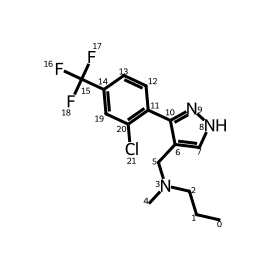 CCCN(C)Cc1c[nH]nc1-c1ccc(C(F)(F)F)cc1Cl